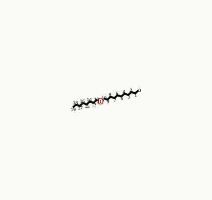 CCCCCCCCCC[CH]OCCCCCCCC